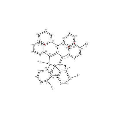 OC1(c2cccc(F)c2F)C(F)=C(c2ccc(Cl)cc2)C(C(c2ccccc2)c2ccccc2)=C(c2ccccc2)C1(F)c1cccc(F)c1F